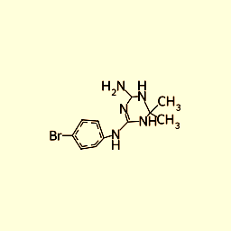 CC1(C)NC(Nc2ccc(Br)cc2)=NC(N)N1